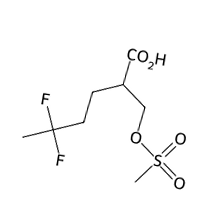 CC(F)(F)CCC(COS(C)(=O)=O)C(=O)O